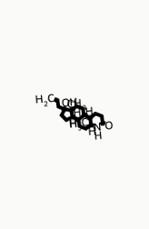 C=CC[C@]1(O)CC[C@H]2[C@@H]3CC[C@H]4NC(=O)CC[C@]4(C)[C@H]3CC[C@@]21C